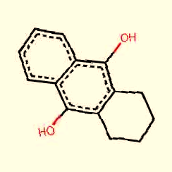 Oc1c2c(c(O)c3ccccc13)CCCC2